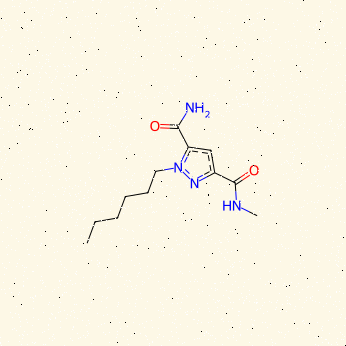 CCCCCCn1nc(C(=O)NC)cc1C(N)=O